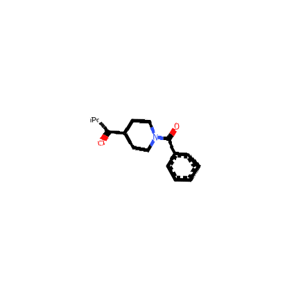 CC(C)C(=O)C1CCN(C(=O)c2ccccc2)CC1